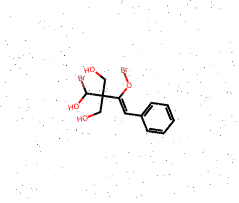 OCC(CO)(C(=Cc1ccccc1)OBr)C(O)Br